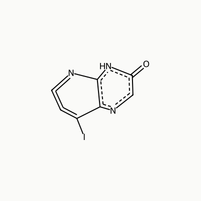 O=c1cnc2c([nH]1)N=C=C=C2I